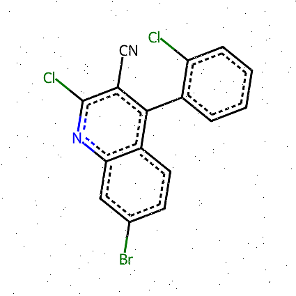 N#Cc1c(Cl)nc2cc(Br)ccc2c1-c1ccccc1Cl